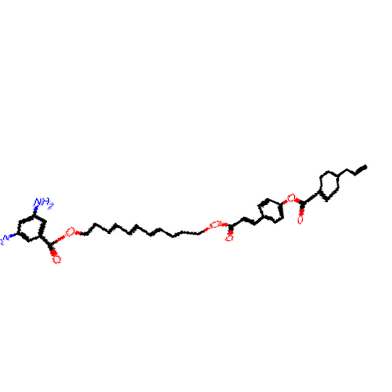 C=CCC1CCC(C(=O)Oc2ccc(/C=C/C(=O)OCCCCCCCCCCCOC(=O)c3cc(N)cc(N)c3)cc2)CC1